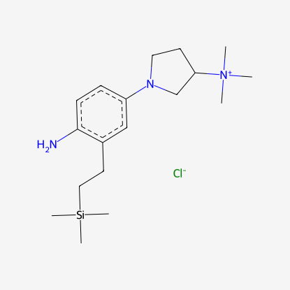 C[N+](C)(C)C1CCN(c2ccc(N)c(CC[Si](C)(C)C)c2)C1.[Cl-]